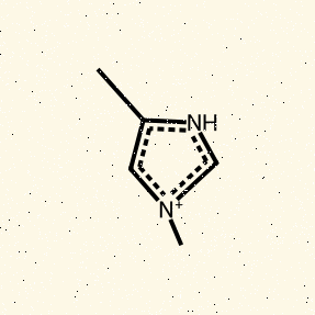 Cc1c[n+](C)c[nH]1